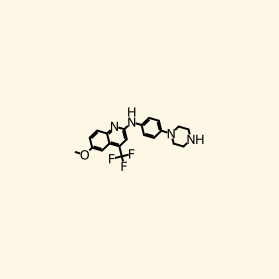 COc1ccc2nc(Nc3ccc(N4CCNCC4)cc3)cc(C(F)(F)F)c2c1